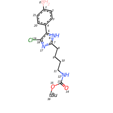 Bc1ccc(-c2[nH]c(CCCCNC(=O)OC(C)(C)C)nc2Cl)cc1